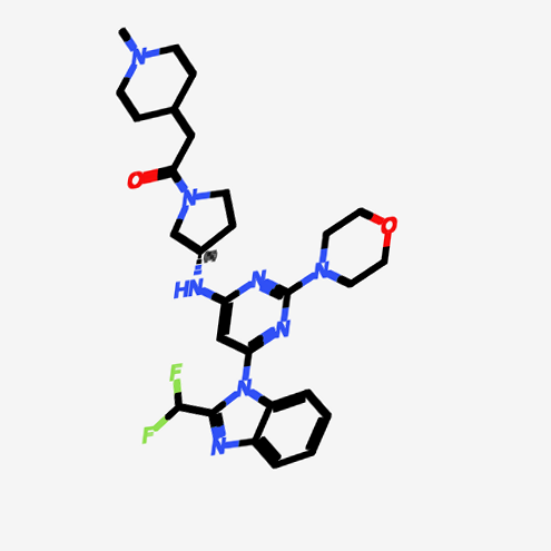 CN1CCC(CC(=O)N2CC[C@H](Nc3cc(-n4c(C(F)F)nc5ccccc54)nc(N4CCOCC4)n3)C2)CC1